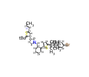 C/C=C/C1=CC(C2CCN(Cc3ccccc3-c3ccc(C(C)(C)C(C)(C)c4ccc(Br)cc4)s3)C2)C(C(C)(C)C)S1